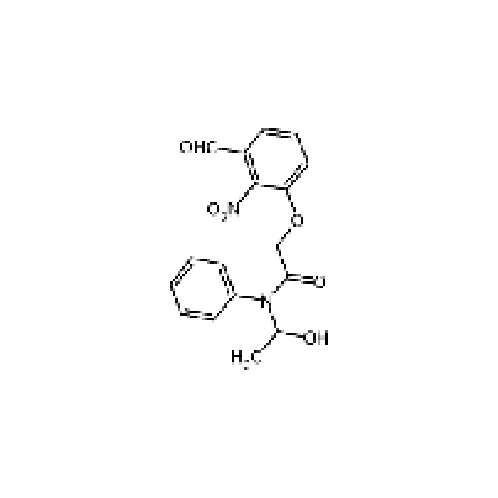 CC(O)N(C(=O)COc1cccc(C=O)c1[N+](=O)[O-])c1ccccc1